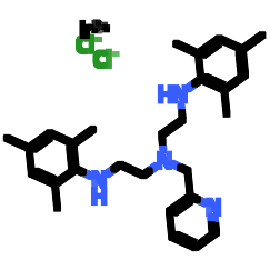 Cc1cc(C)c(NCCN(CCNc2c(C)cc(C)cc2C)Cc2ccccn2)c(C)c1.[Cl-].[Cl-].[Ir+2]